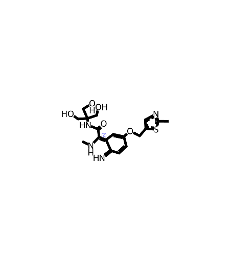 CN/C(C(=O)NC(CO)(CO)CO)=C1/C=C(OCc2cnc(C)s2)C=CC1=N